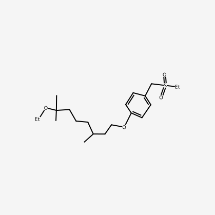 CCOC(C)(C)CCCC(C)CCOc1ccc(CS(=O)(=O)CC)cc1